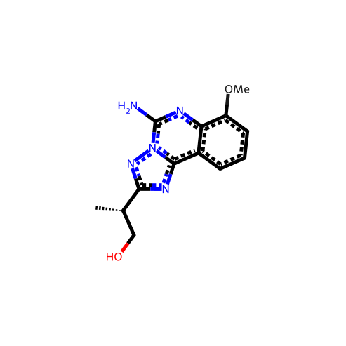 COc1cccc2c1nc(N)n1nc([C@@H](C)CO)nc21